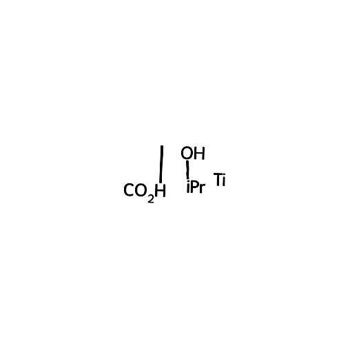 CC(=O)O.CC(C)O.[Ti]